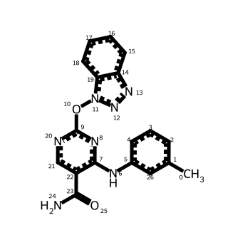 Cc1cccc(Nc2nc(On3nnc4ccccc43)ncc2C(N)=O)c1